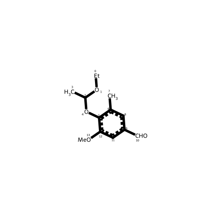 CCOC(C)Oc1c(C)cc(C=O)cc1OC